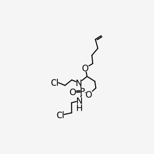 C=CCCCOC1CCOP(=O)(NCCCl)N1CCCl